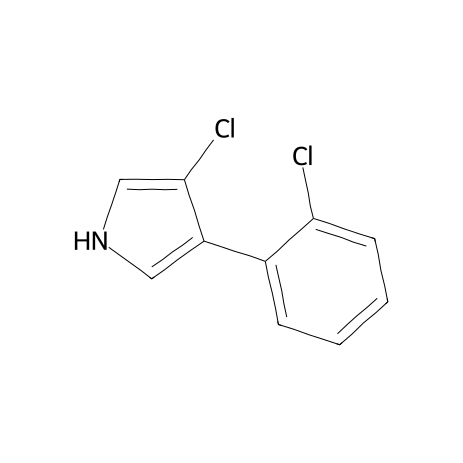 Clc1ccccc1-c1c[nH]cc1Cl